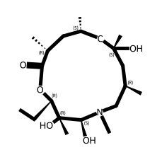 CC[C@H]1OC(=O)[C@H](C)C[C@H](C)C[C@](C)(O)C[C@@H](C)CN(C)[C@@H](O)[C@]1(C)O